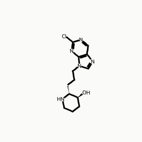 O[C@H]1CCCN[C@@H]1CCCn1cnc2cnc(Cl)nc21